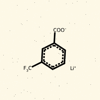 O=C([O-])c1cccc(C(F)(F)F)c1.[Li+]